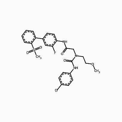 COCCN(CC(=O)Nc1ccc(-c2ccccc2S(C)(=O)=O)cc1F)C(=O)Nc1ccc(Cl)cc1